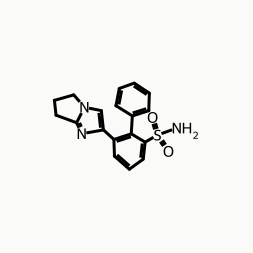 NS(=O)(=O)c1cccc(-c2cn3c(n2)CCC3)c1-c1ccccc1